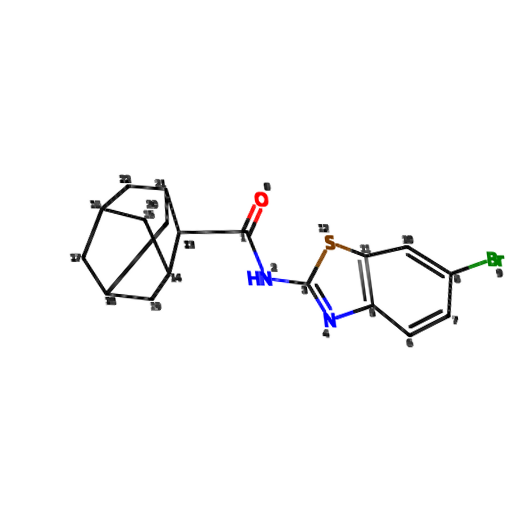 O=C(Nc1nc2ccc(Br)cc2s1)C1C2CC3CC(C2)CC1C3